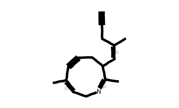 C#CC/C(C)=C\C1CC#C/C(C)=C\C/N=C\1C